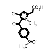 Cn1c(CC(=O)O)cc(Cl)c1C(=O)c1ccc([S+](C)[O-])cc1